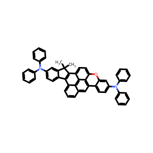 CC1(C)c2cc(N(c3ccccc3)c3ccccc3)ccc2-c2c1c1ccc3c4c(cc5cccc2c5c14)-c1ccc(N(c2ccccc2)c2ccccc2)cc1O3